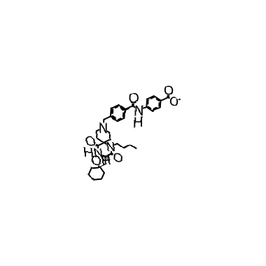 CCCCN1C(=O)[C@@H](CC2(O)CCCCC2)NC(=O)C12CCN(Cc1ccc(C(=O)Nc3ccc(C(=O)OC)cc3)cc1)CC2